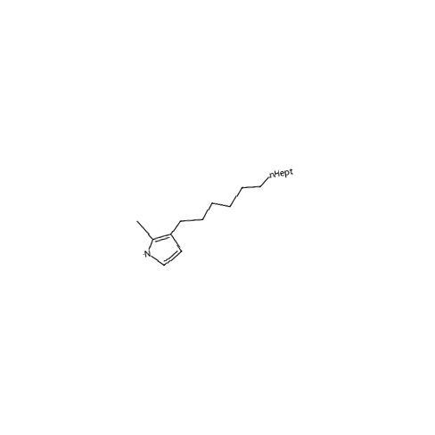 CCCCCCCCCCCCCC1=C(C)[N]C=C1